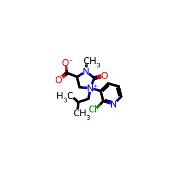 CC(C)C[N+]1(c2cccnc2Cl)CC(C(=O)[O-])N(C)C1=O